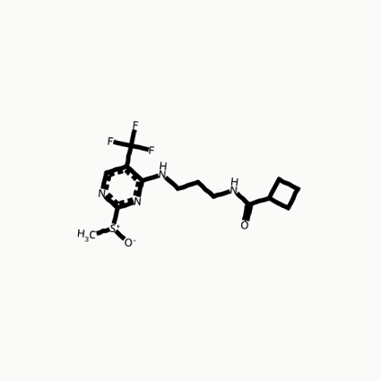 C[S+]([O-])c1ncc(C(F)(F)F)c(NCCCNC(=O)C2CCC2)n1